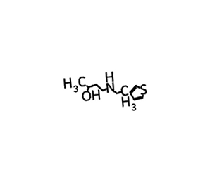 CCNCCC(C)O.c1ccsc1